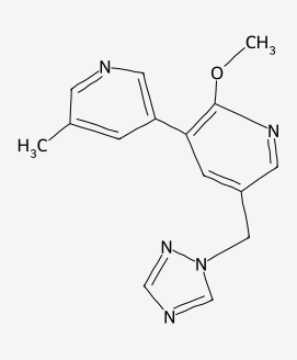 COc1ncc(Cn2cncn2)cc1-c1cncc(C)c1